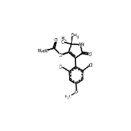 CNC(=O)OC1=C(c2c(Cl)cc(OC(F)(F)F)cc2Cl)C(=O)NC1(C)C